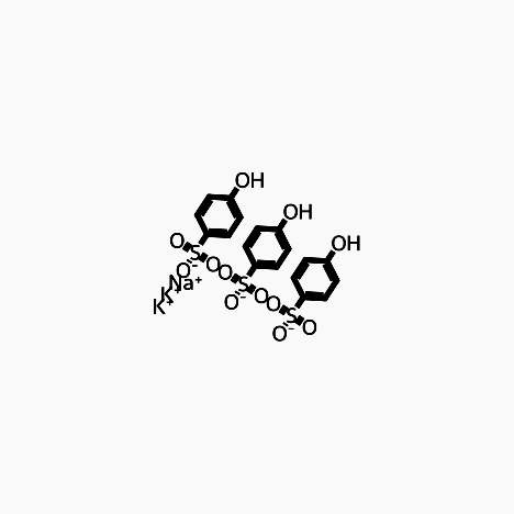 O=S(=O)([O-])c1ccc(O)cc1.O=S(=O)([O-])c1ccc(O)cc1.O=S(=O)([O-])c1ccc(O)cc1.[K+].[K+].[Na+]